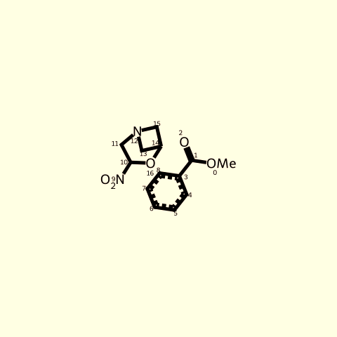 COC(=O)c1ccccc1.O=[N+]([O-])C1CN2CC(C2)O1